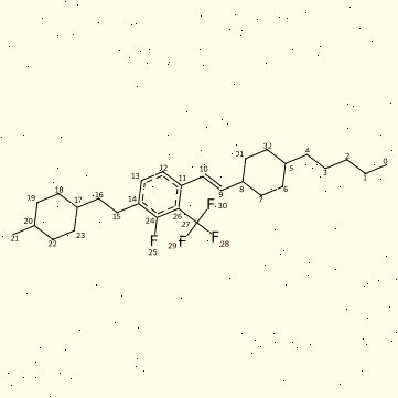 CCCCCC1CCC(/C=C/c2ccc(CCC3CCC(C)CC3)c(F)c2C(F)(F)F)CC1